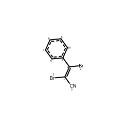 N#CC(Br)=C(Br)c1ccccc1